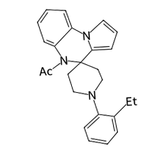 CCc1ccccc1N1CCC2(CC1)c1cccn1-c1ccccc1N2C(C)=O